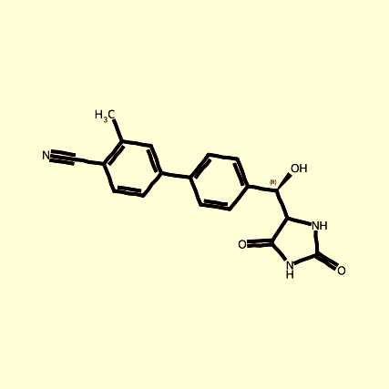 Cc1cc(-c2ccc([C@@H](O)C3NC(=O)NC3=O)cc2)ccc1C#N